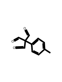 Cc1ccc(C(C=O)(C=O)C=O)cc1